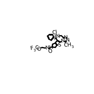 Cc1nnc2n1-c1sc3c(c1[C@H](c1ccccc1Cl)NC2)C[C@H](C(=O)NCCOC(F)(F)F)C3